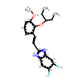 CCC(CC)Oc1c(/C=C/c2nc3cc(F)c(F)cc3[nH]2)cccc1OC